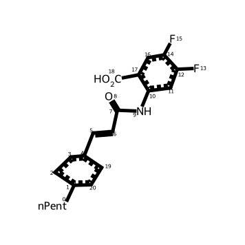 CCCCCc1ccc(/C=C/C(=O)Nc2cc(F)c(F)cc2C(=O)O)cc1